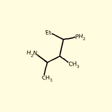 CCC(P)C(C)C(C)N